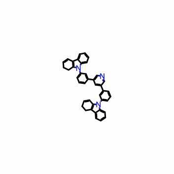 C1=Cc2c(c3ccccc3n2-c2cccc(-c3cncc(-c4cccc(-n5c6c(c7ccccc75)C=CCC6)c4)c3)c2)CC1